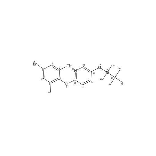 Cc1cc(Br)cc(Cl)c1Oc1ccc(O[Si](C)(C)C(C)(C)C)cn1